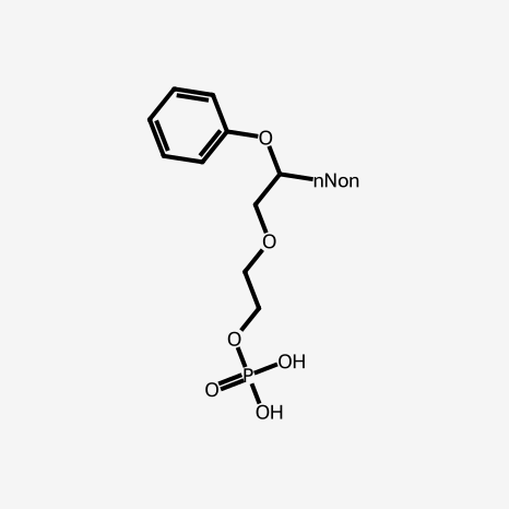 CCCCCCCCCC(COCCOP(=O)(O)O)Oc1ccccc1